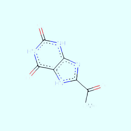 COC(=O)c1nc2[nH]c(=O)[nH]c(=O)c2[nH]1